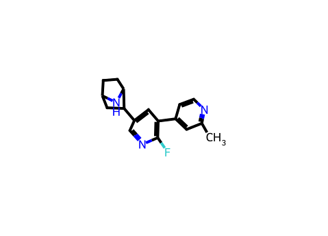 Cc1cc(-c2cc(C3CC4CCC3N4)cnc2F)ccn1